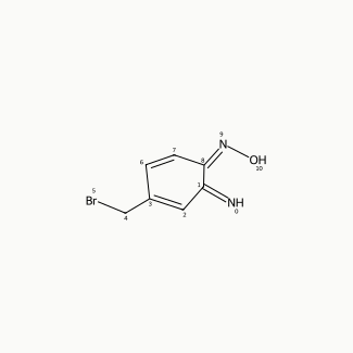 N=C1C=C(CBr)C=C/C1=N/O